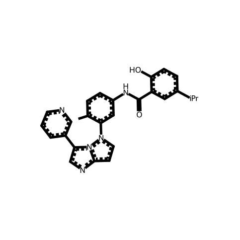 Cc1ccc(NC(=O)c2cc(C(C)C)ccc2O)cc1-n1ccc2ncc(-c3cccnc3)n21